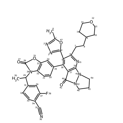 Cc1nnc(-c2c(CCC3CCOCC3)nc3c(c2-c2ccc4c(c2)oc(=O)n4C(C)c2ccc(C#N)c(F)c2)c(=O)n2n3CCC2)o1